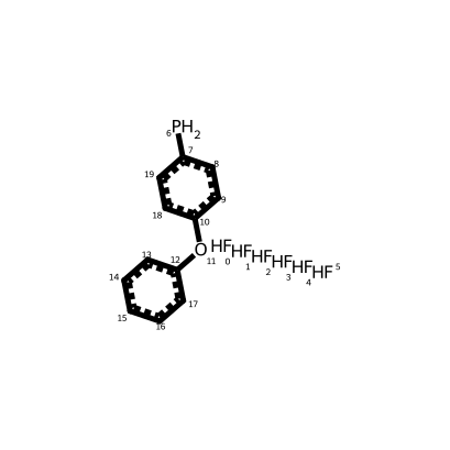 F.F.F.F.F.F.Pc1ccc(Oc2ccccc2)cc1